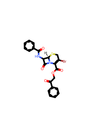 O=C(OCC(=O)c1ccccc1)C1=C(Br)CS[C@@H]2C(NC(=O)c3ccccc3)C(=O)N12